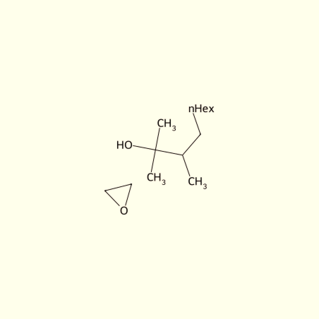 C1CO1.CCCCCCCC(C)C(C)(C)O